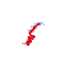 CC[C@H](C)[C@@H](C(CC(=O)N1CCC[C@H]1[C@H](OC)[C@@H](C)C(=O)N[C@H](C)[C@@H](O)c1ccccc1)OC)N(C)C(=O)[C@@H](NC(=O)C(C(C)C)N(C)C(=O)COC(C)(C)CCOC(C)(CC)CCNC(=O)OCc1ccc(NC(=O)CCCCNC(N)=O)cc1)C(C)C